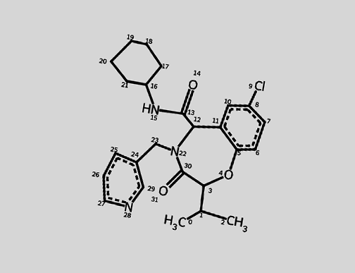 CC(C)C1Oc2ccc(Cl)cc2C(C(=O)NC2CCCCC2)N(Cc2cccnc2)C1=O